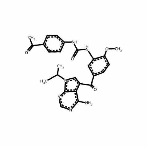 COc1ccc(C(=O)c2cn(C(C)C)c3ncnc(N)c23)cc1NC(=O)Nc1ccc(C(C)=O)cc1